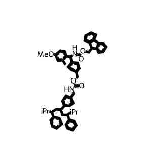 COc1ccc(C(NC(=O)OCC2c3ccccc3-c3ccccc32)c2ccc(COC(=O)NCc3ccc(C(CC(c4ccccc4)C(C)C)CC(c4ccccc4)C(C)C)cc3)cc2)c(C)c1